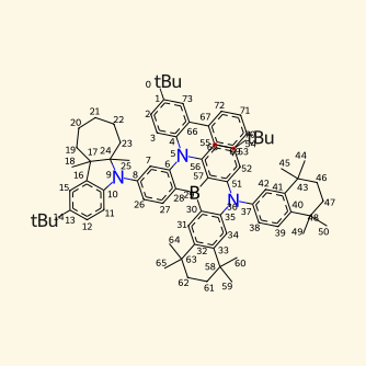 CC(C)(C)c1ccc(N2c3cc(N4c5ccc(C(C)(C)C)cc5C5(C)CCCCCC45C)ccc3B3c4cc5c(cc4N(c4ccc6c(c4)C(C)(C)CCC6(C)C)c4cc(C(C)(C)C)cc2c43)C(C)(C)CCC5(C)C)c(-c2ccccc2)c1